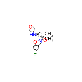 CC(C)[C@]1(C(=O)N2COc3ccc(CF)cc3C2)CC[C@@H](NC2CCOCC2)C1